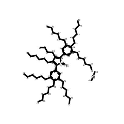 CCCCCCC1=C(c2cc(CCCCCC)c(CCCCCC)c(CCCCCC)c2)[N+](=[N-])C(c2cc(CCCCCC)c(CCCCCC)c(CCCCCC)c2)=C1CCCC.[CH3][Ni][CH3]